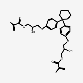 C=C(C)C(=O)OCC(O)COc1ccc(C2(c3ccc(OCC(O)COC(=O)C(=C)C)cc3)CCCCC2)cc1